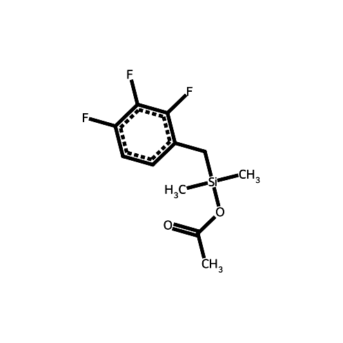 CC(=O)O[Si](C)(C)Cc1ccc(F)c(F)c1F